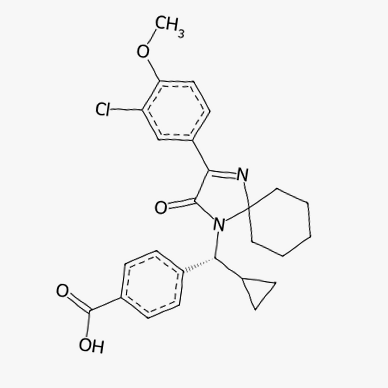 COc1ccc(C2=NC3(CCCCC3)N([C@@H](c3ccc(C(=O)O)cc3)C3CC3)C2=O)cc1Cl